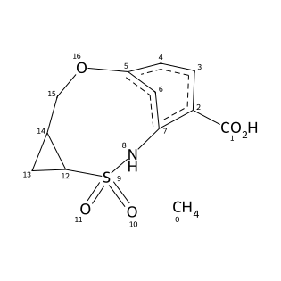 C.O=C(O)c1ccc2cc1NS(=O)(=O)C1CC1CO2